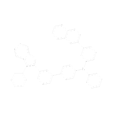 c1ccc(-c2c(-c3cccc(-c4ccc(N(c5ccccc5)c5cccc(-c6ccc7ccccc7c6)c5)cc4)c3)oc3ccccc23)cc1